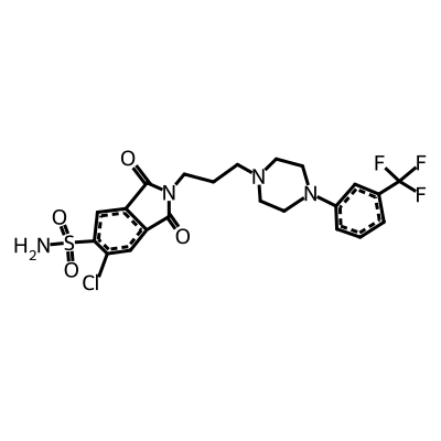 NS(=O)(=O)c1cc2c(cc1Cl)C(=O)N(CCCN1CCN(c3cccc(C(F)(F)F)c3)CC1)C2=O